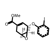 COC(=O)C1=C[C@H](Oc2ccccc2I)[C@H]2O[C@H]2C1